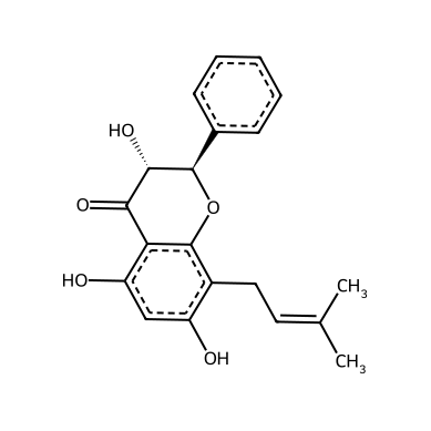 CC(C)=CCc1c(O)cc(O)c2c1O[C@H](c1ccccc1)[C@@H](O)C2=O